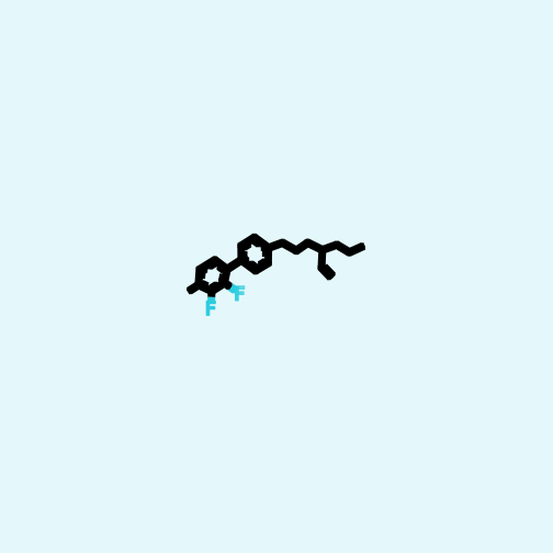 C=CC(CCC)CCCc1ccc(-c2ccc(C)c(F)c2F)cc1